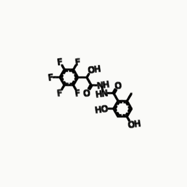 Cc1cc(O)cc(O)c1C(=O)NNC(=O)C(O)c1c(F)c(F)c(F)c(F)c1F